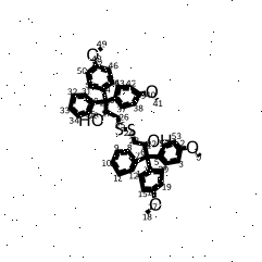 COc1ccc(C(c2ccccc2)(c2ccc(OC)cc2)C(O)CSSCC(O)C(c2ccccc2)(c2ccc(OC)cc2)c2ccc(OC)cc2)cc1